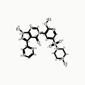 CCOc1ncc(S(=O)(=O)N2CCN(CC)CC2)cc1-n1cnc2c(c(-c3cnccn3)nn2CC)c1=O